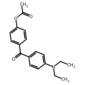 CCN(CC)c1ccc(C(=O)c2ccc(OC(C)=O)cc2)cc1